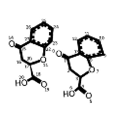 O=C1CC(C(=O)O)Oc2ccccc21.O=C1C[C@H](C(=O)O)Oc2ccccc21